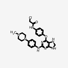 CN1CCN(c2ccc(Nc3nc4c(c(Oc5ccc(NC(=O)CCl)cc5)n3)NCN4)cc2)CC1